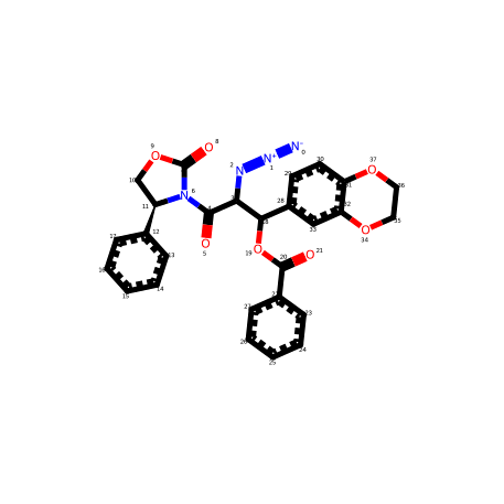 [N-]=[N+]=NC(C(=O)N1C(=O)OC[C@@H]1c1ccccc1)C(OC(=O)c1ccccc1)c1ccc2c(c1)OCCO2